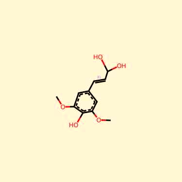 COc1cc(/C=C/C(O)O)cc(OC)c1O